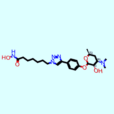 C[C@H]1C[C@@H](N(C)C)[C@H](O)C(Oc2ccc(-c3cn(CCCCCCC(=O)NO)nn3)cc2)O1